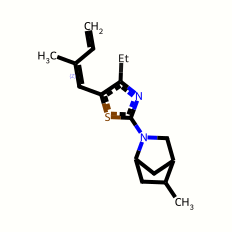 C=C/C(C)=C\c1sc(N2CC3CC2CC3C)nc1CC